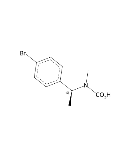 C[C@@H](c1ccc(Br)cc1)N(C)C(=O)O